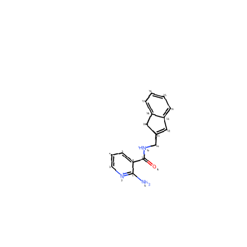 Nc1ncccc1C(=O)NCC1=Cc2ccccc2C1